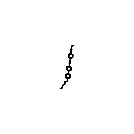 CCC#Cc1ccc(C#Cc2ccc(-c3ccc(CCCCCC)cc3)cc2)cc1